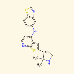 CC1(C)NCC=C1c1cc2c(Nc3ccc4scnc4c3)ccnc2s1